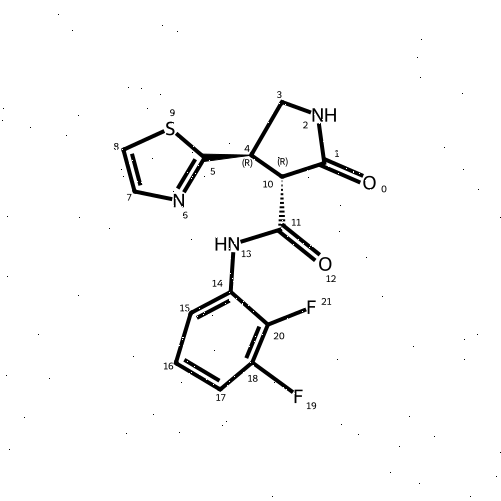 O=C1NC[C@H](c2nccs2)[C@H]1C(=O)Nc1cccc(F)c1F